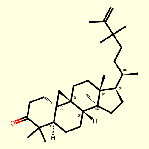 C=C(C)C(C)(C)CC[C@@H](C)[C@H]1CC[C@@]2(C)[C@@H]3CC[C@H]4C(C)(C)C(=O)CC[C@@]45C[C@@]35CC[C@]12C